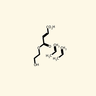 C=CC.C=CC.O=C(O)/C=C/C(=O)OCCO